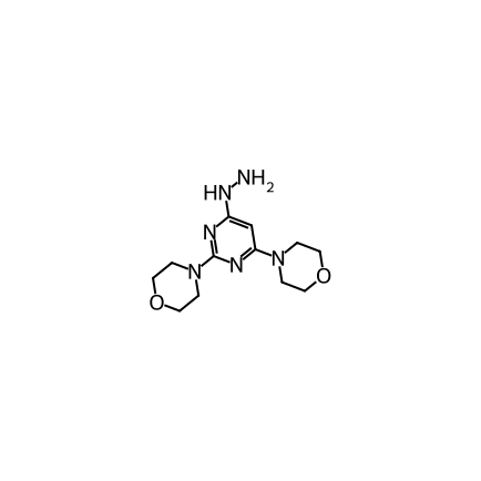 NNc1cc(N2CCOCC2)nc(N2CCOCC2)n1